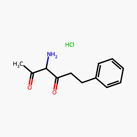 CC(=O)C(N)C(=O)CCc1ccccc1.Cl